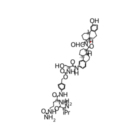 CC(C)[C@H](N)C(=O)N[C@@H](CCCNC(N)=O)C(=O)Nc1ccc(COC(=O)N[C@@H](CO)C(=O)Nc2ccc3c(c2)[C@@]2(C)CCC[C@](C)(C(=O)N(C=O)[C@@]4(C)CCC[C@]5(C)c6cc(O)ccc6CC[C@@H]45)[C@@H]2CC3)cc1